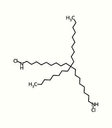 CCCCCCCCCCC(CCCCCCCC)(CCCCCCCCCNCl)CCCCCCCCNCl